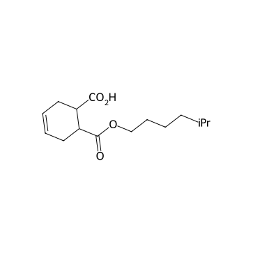 CC(C)CCCCOC(=O)C1CC=CCC1C(=O)O